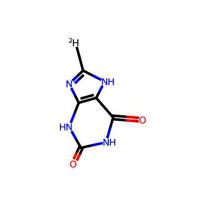 [2H]c1nc2[nH]c(=O)[nH]c(=O)c2[nH]1